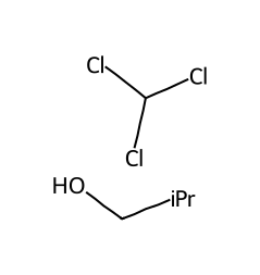 CC(C)CO.ClC(Cl)Cl